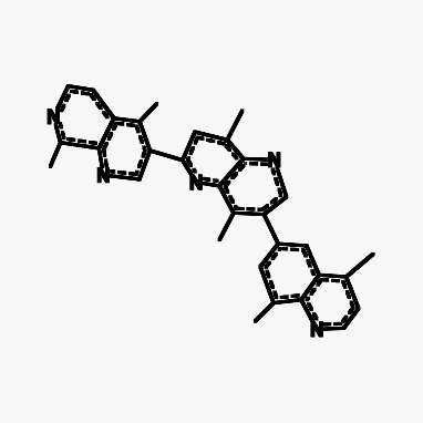 Cc1ccnc2c(C)cc(-c3cnc4c(C)cc(-c5cnc6c(C)nccc6c5C)nc4c3C)cc12